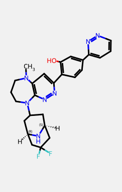 CN1CCCN(C2C[C@@H]3CC(F)(F)C[C@H](C2)N3)c2nnc(-c3ccc(-c4cccnn4)cc3O)cc21